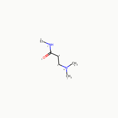 CCNC(=O)CCN(C)C